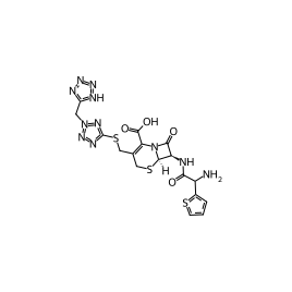 NC(C(=O)N[C@@H]1C(=O)N2C(C(=O)O)=C(CSc3nnn(Cc4nnn[nH]4)n3)CS[C@H]12)c1cccs1